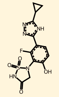 O=C1CN(c2c(O)ccc(-c3nnc(C4CC4)[nH]3)c2F)S(=O)(=O)N1